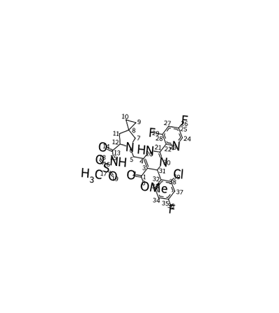 COC(=O)C1=C(CN2CC3(CC3)CC2C(=O)NS(C)(=O)=O)NC(c2ncc(F)cc2F)=NC1c1ccc(F)cc1Cl